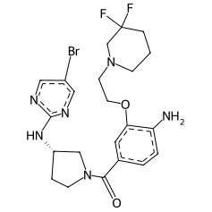 Nc1ccc(C(=O)N2CC[C@H](Nc3ncc(Br)cn3)C2)cc1OCCN1CCCC(F)(F)C1